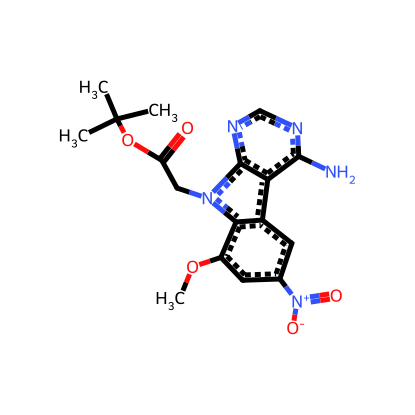 COc1cc([N+](=O)[O-])cc2c3c(N)ncnc3n(CC(=O)OC(C)(C)C)c12